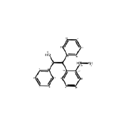 OC(c1ccccc1)C(c1ccccc1)c1ccccc1NS